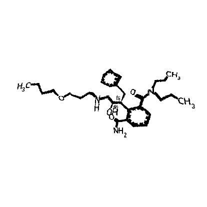 CCCCOCCCNC[C@H](O)[C@@H](Cc1ccccc1)c1c(C(N)=O)cccc1C(=O)N(CCC)CCC